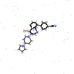 N#Cc1ccc(-c2cccc3c(Br)c(N4CCC(N5CCCC5)CC4)cnc23)cc1